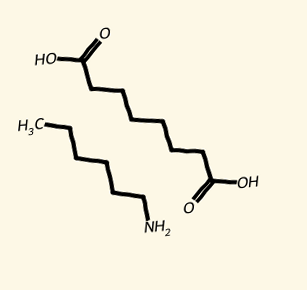 CCCCCCN.O=C(O)CCCCCCC(=O)O